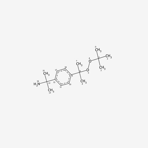 CC(C)(C)OOC(C)(C)c1ccc(C(C)(C)N)cc1